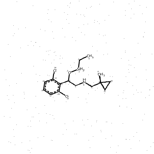 CC[SiH2]OC(CNCC1(C)CC1)c1c(Cl)cccc1Cl